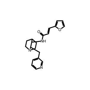 O=C(C=Cc1ccco1)NC1C2CCN(CC2)C1Cc1cccnc1